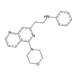 c1ccc(NCCc2cc3ncccc3c(N3CCOCC3)n2)cc1